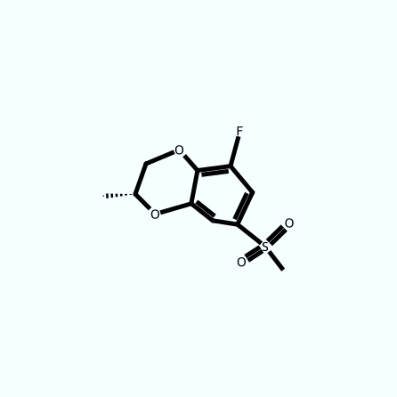 [CH2][C@@H]1COc2c(F)cc(S(C)(=O)=O)cc2O1